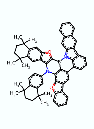 CC1(C)CCC(C)(C)c2cc(N3c4c(oc5cc6c(cc45)C(C)(C)CCC6(C)C)B4c5c(cc6c(oc7ccccc76)c53)-c3cccc5c6cc7ccccc7cc6n4c35)ccc21